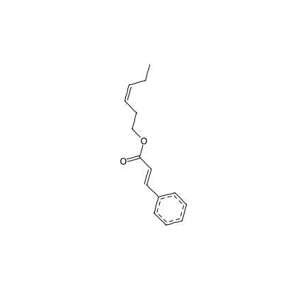 CC/C=C\CCOC(=O)/C=C/c1ccccc1